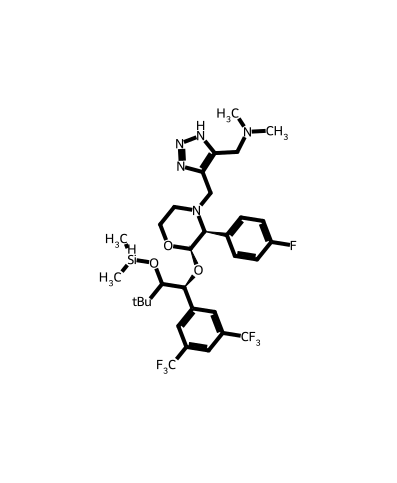 CN(C)Cc1[nH]nnc1CN1CCO[C@H](O[C@@H](c2cc(C(F)(F)F)cc(C(F)(F)F)c2)C(O[SiH](C)C)C(C)(C)C)[C@@H]1c1ccc(F)cc1